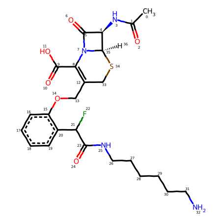 CC(=O)N[C@@H]1C(=O)N2C(C(=O)O)=C(COc3ccccc3C(F)C(=O)NCCCCCCN)CS[C@H]12